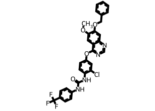 COc1cc2c(Oc3ccc(NC(=O)Nc4ccc(C(F)(F)F)cc4)c(Cl)c3)ncnc2cc1OCc1ccccc1